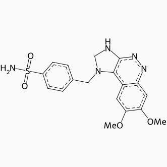 COc1cc2nnc3c(c2cc1OC)N(Cc1ccc(S(N)(=O)=O)cc1)CN3